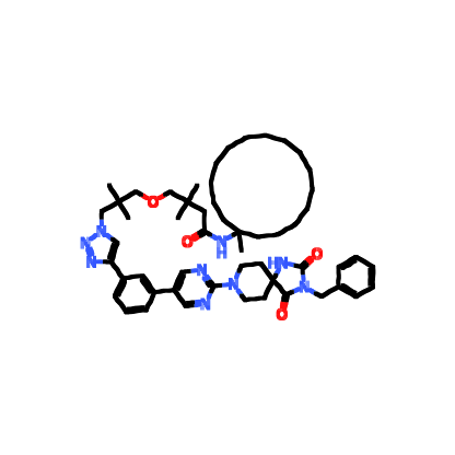 CC(C)(COCC(C)(C)Cn1cc(-c2cccc(-c3cnc(N4CCC5(CC4)NC(=O)N(Cc4ccccc4)C5=O)nc3)c2)nn1)CC(=O)NC1(C)CCCCCCCCCCCCCCC1